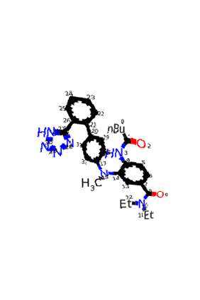 CCCCC(=O)Nc1ccc(C(=O)N(CC)CC)cc1N(C)c1ccc(-c2ccccc2-c2nnn[nH]2)cc1